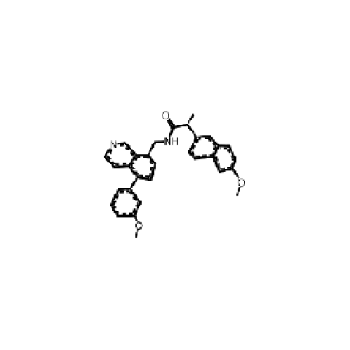 COc1cccc(-c2ccc(CNC(=O)[C@@H](C)c3ccc4cc(OC)ccc4c3)c3cnccc23)c1